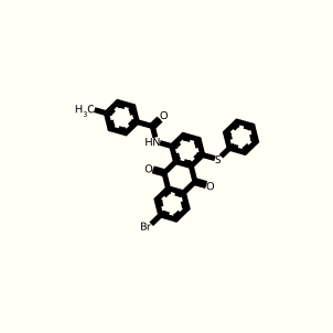 Cc1ccc(C(=O)Nc2ccc(Sc3ccccc3)c3c2C(=O)c2cc(Br)ccc2C3=O)cc1